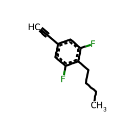 C#Cc1cc(F)c(CCCC)c(F)c1